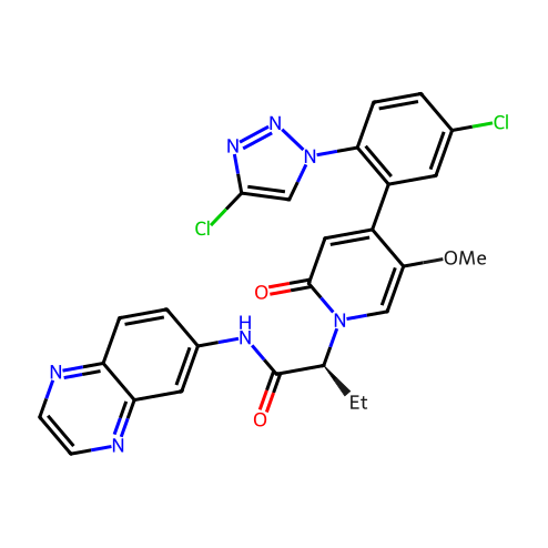 CC[C@@H](C(=O)Nc1ccc2nccnc2c1)n1cc(OC)c(-c2cc(Cl)ccc2-n2cc(Cl)nn2)cc1=O